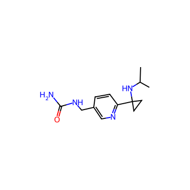 CC(C)NC1(c2ccc(CNC(N)=O)cn2)CC1